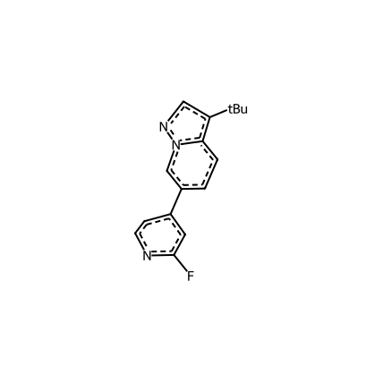 CC(C)(C)c1cnn2cc(-c3ccnc(F)c3)ccc12